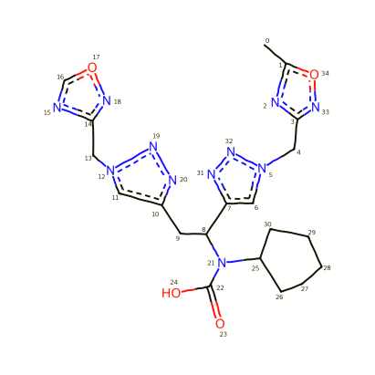 Cc1nc(Cn2cc(C(Cc3cn(Cc4ncon4)nn3)N(C(=O)O)C3CCCCC3)nn2)no1